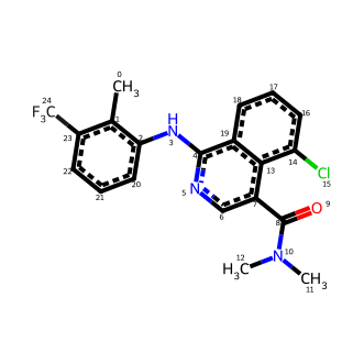 Cc1c(Nc2ncc(C(=O)N(C)C)c3c(Cl)cccc23)cccc1C(F)(F)F